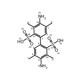 Cc1cc(-c2cc(C)c(N)c(C)c2S(=O)(=O)O)c(S(=O)(=O)O)c(C)c1N